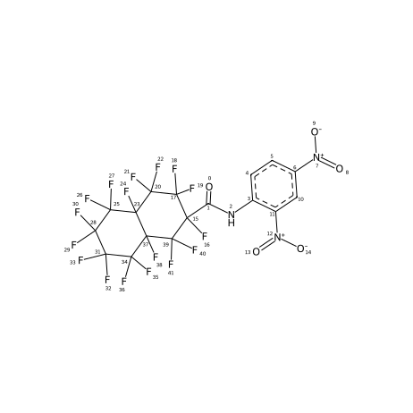 O=C(Nc1ccc([N+](=O)[O-])cc1[N+](=O)[O-])C1(F)C(F)(F)C(F)(F)C2(F)C(F)(F)C(F)(F)C(F)(F)C(F)(F)C2(F)C1(F)F